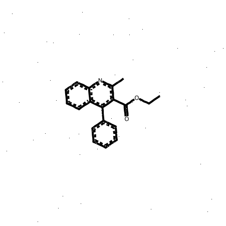 CCOC(=O)c1c(C)nc2ccccc2c1-c1ccccc1